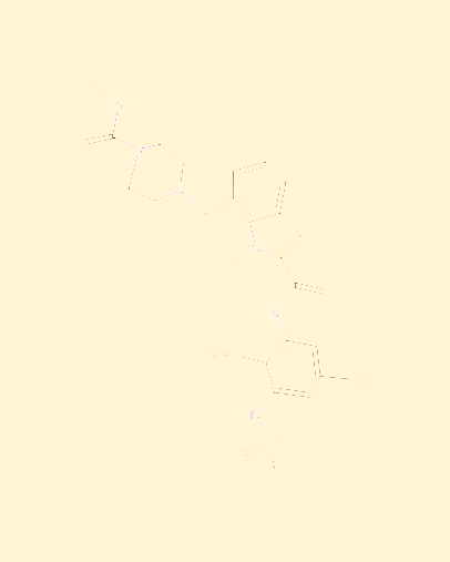 COc1c(NC(=O)c2cc3cccc(CN4CCN(C(=O)NC(C)(C)C)CC4)c3n2C)cc(C(C)(C)C)cc1NS(C)(=O)=O